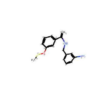 C=C(NCc1cccc(N)c1)c1cccc(OSC)c1